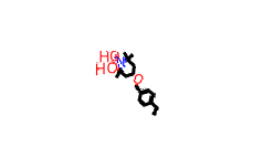 C=Cc1ccc(COC2CC(C)(C)N(O)C(C)(O)C2)cc1